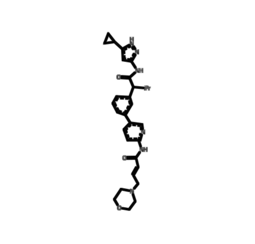 CC(C)C(C(=O)Nc1cc(C2CC2)[nH]n1)c1cccc(-c2ccc(NC(=O)C=CCN3CCOCC3)nc2)c1